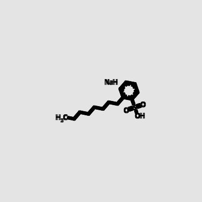 CCCCCCCCc1ccccc1S(=O)(=O)O.[NaH]